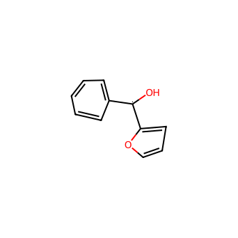 O[C](c1ccccc1)c1ccco1